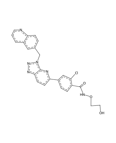 O=C(NOCCO)c1ccc(-c2ccc3nnn(Cc4ccc5ncccc5c4)c3n2)cc1Cl